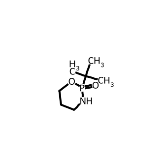 CC(C)(C)P1(=O)NCCCO1